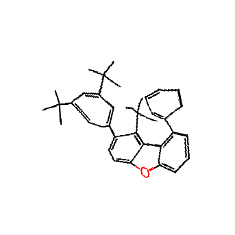 CC(C)(C)c1cc(-c2ccc3oc4cccc(C5=CC=CCC5)c4c3c2C(C)(C)C)cc(C(C)(C)C)c1